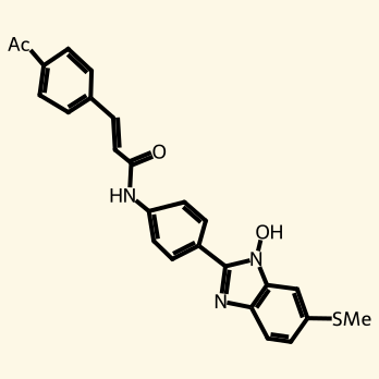 CSc1ccc2nc(-c3ccc(NC(=O)/C=C/c4ccc(C(C)=O)cc4)cc3)n(O)c2c1